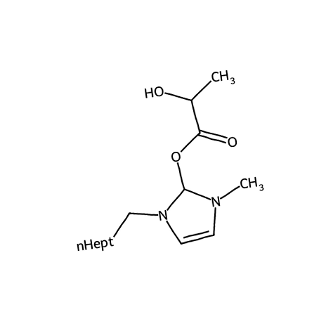 CCCCCCCCN1C=CN(C)C1OC(=O)C(C)O